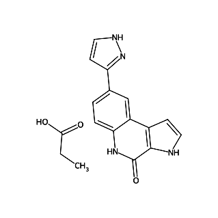 CCC(=O)O.O=c1[nH]c2ccc(-c3cc[nH]n3)cc2c2cc[nH]c12